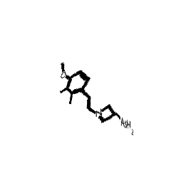 COc1ccc(CCN2CC([AsH2])C2)c(C)c1C